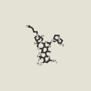 Cc1cc(N)nc(-c2c(Cl)c3c4c(nc(OC[C@@]56CCCN5C[C@H](F)C6)nc4c2F)N2C[C@H]4CC(CN4CCCC#N)[C@H]2CO3)c1C(F)(F)F